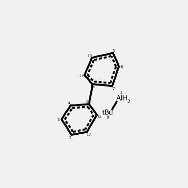 C[C](C)(C)[AlH2].c1ccc(-c2ccccc2)cc1